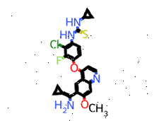 COc1cc2nccc(Oc3ccc(NC(=S)NC4CC4)c(Cl)c3F)c2cc1C(N)=C1CC1